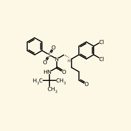 CC(C)(C)NC(=O)N(C[C@@H](CCC=O)c1ccc(Cl)c(Cl)c1)S(=O)(=O)c1ccccc1